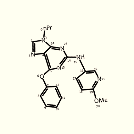 CCCn1cnc2c(Oc3ccccc3)nc(Nc3ccc(OC)nc3)nc21